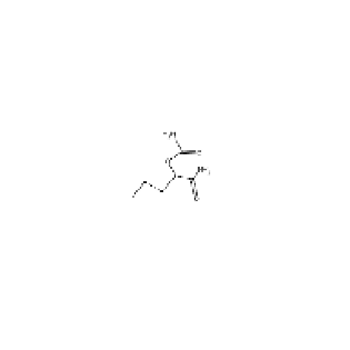 CCCC(OC(N)=O)C(N)=O